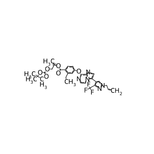 C=CCn1cc(-c2cnc3c(Oc4ccc(C(=O)O[C@H](C)COC(=O)OC(C)(C)C)c(CC)c4)nccn23)c(C(F)(F)F)n1